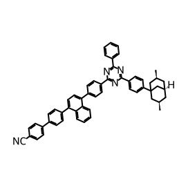 C[C@@H]1C[C@@H]2C[C@H](C)CC(c3ccc(-c4nc(-c5ccccc5)nc(-c5ccc(-c6ccc(-c7ccc(-c8ccc(C#N)cc8)cc7)c7ccccc67)cc5)n4)cc3)(C1)C2